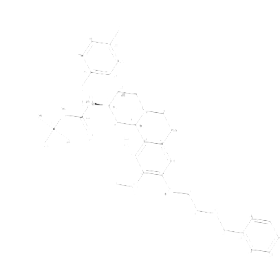 COc1cc2c(cc1OCCOCc1ccccc1)CCN1C[C@@H](c3cc(C)ccc3C)[C@H](NC(=O)OC(C)(C)C)C[C@H]21